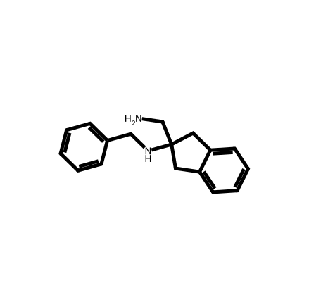 NCC1(NCc2ccccc2)Cc2ccccc2C1